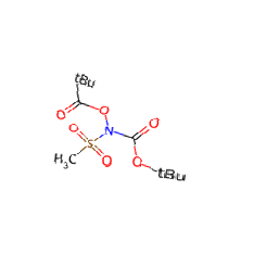 CC(C)(C)OC(=O)N(OC(=O)C(C)(C)C)S(C)(=O)=O